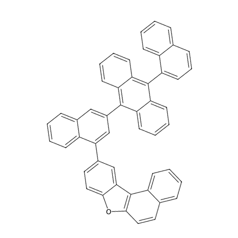 c1ccc2c(-c3ccc4oc5ccc6ccccc6c5c4c3)cc(-c3c4ccccc4c(-c4cccc5ccccc45)c4ccccc34)cc2c1